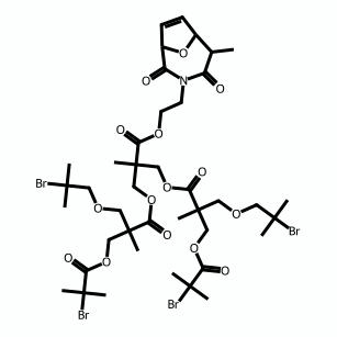 CC1C(=O)N(CCOC(=O)C(C)(COC(=O)C(C)(COCC(C)(C)Br)COC(=O)C(C)(C)Br)COC(=O)C(C)(COCC(C)(C)Br)COC(=O)C(C)(C)Br)C(=O)C2C=CC1O2